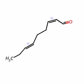 CC/C=C/CC/C=C\C=O